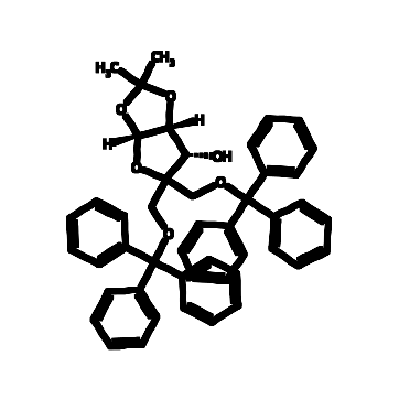 CC1(C)O[C@H]2OC(COC(c3ccccc3)(c3ccccc3)c3ccccc3)(COC(c3ccccc3)(c3ccccc3)c3ccccc3)[C@@H](O)[C@H]2O1